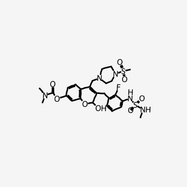 CNS(=O)(=O)Nc1cccc(CC2=C(CN3CCN(S(C)(=O)=O)CC3)c3ccc(OC(=O)N(C)C)cc3OC2O)c1F